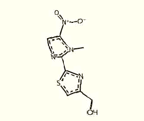 Cn1c([N+](=O)[O-])cnc1-c1nc(CO)cs1